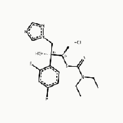 CCN(CC)C(=S)S[C@H](C)[C@](O)(Cn1cncn1)c1ccc(F)cc1F.Cl